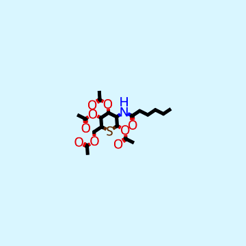 CCCCCC(=O)NC1C(OC(C)=O)SC(COC(C)=O)C(OC(C)=O)C1OC(C)=O